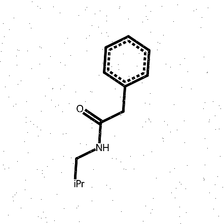 CC(C)CNC(=O)Cc1ccccc1